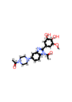 COc1cc(-c2nc3cc(N4CCN(C(C)=O)CC4)ccc3n2C(C)=O)cc(O)c1O